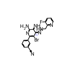 N#Cc1cccc(C2=C(Br)/C(=N/NCc3ncccc3F)C(=N)C(N)=N2)c1